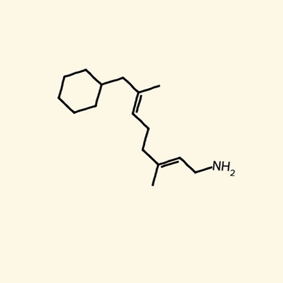 CC(=CCN)CCC=C(C)CC1CCCCC1